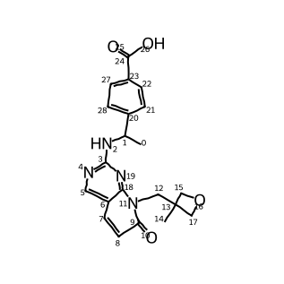 CC(Nc1ncc2ccc(=O)n(CC3(C)COC3)c2n1)c1ccc(C(=O)O)cc1